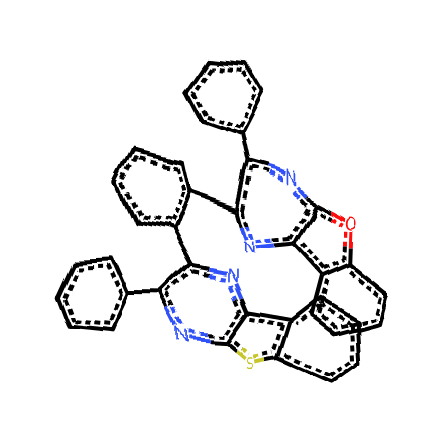 c1ccc(-c2nc3oc4ccccc4c3nc2-c2ccccc2-c2nc3c(nc2-c2ccccc2)sc2ccccc23)cc1